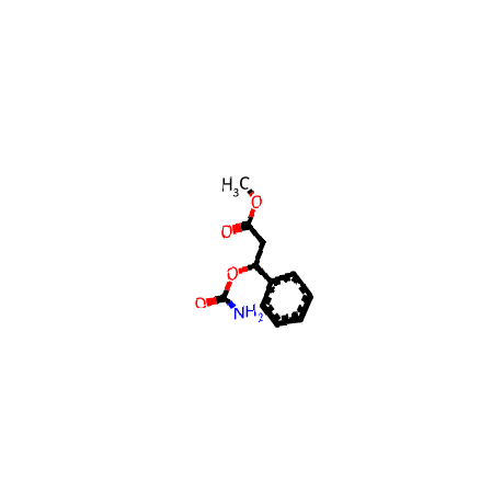 COC(=O)CC(OC(N)=O)c1ccccc1